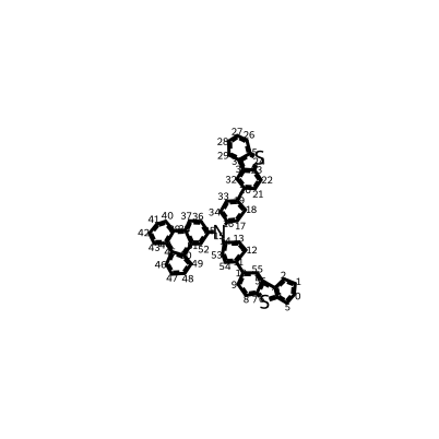 c1ccc2c(c1)sc1ccc(-c3ccc(N(c4ccc(-c5ccc6sc7ccccc7c6c5)cc4)c4ccc5c6ccccc6c6ccccc6c5c4)cc3)cc12